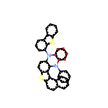 c1ccc(N(c2ccc3sc4ccc5ccccc5c4c3c2N(c2ccccc2)c2ccccc2)c2cccc3c2sc2ccccc23)cc1